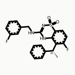 C[C@H](c1ccccc1)c1c(F)ccc2c1NC(NCc1cccc(F)c1)=NS2(=O)=O